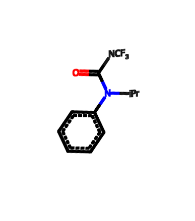 CC(C)N(C(=O)NC(F)(F)F)c1ccccc1